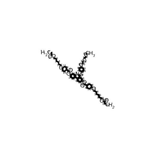 C=CC(=O)OCCCCCCOC1CCC(C(=O)Oc2ccc3c(c2)nc(Sc2ccc(OCCOCCOC)cc2)c2cc(OC(=O)C4CCC(OCCCCCCOC(=O)C=C)CC4)ccc23)CC1